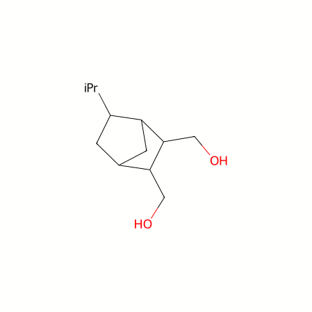 CC(C)C1CC2CC1C(CO)C2CO